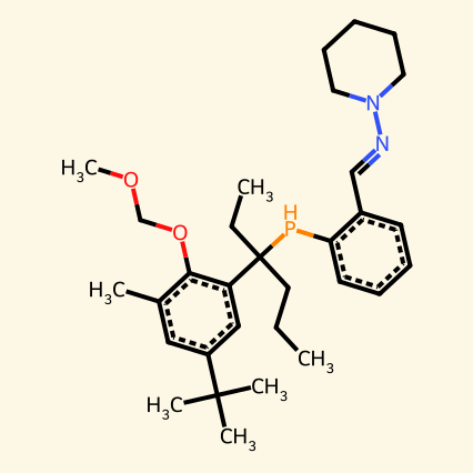 CCCC(CC)(Pc1ccccc1/C=N/N1CCCCC1)c1cc(C(C)(C)C)cc(C)c1OCOC